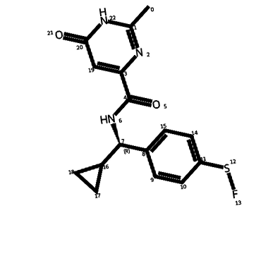 Cc1nc(C(=O)N[C@@H](c2ccc(SF)cc2)C2CC2)cc(=O)[nH]1